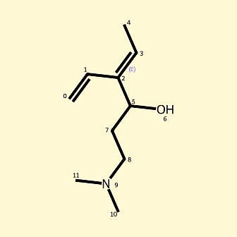 C=C/C(=C\C)C(O)CCN(C)C